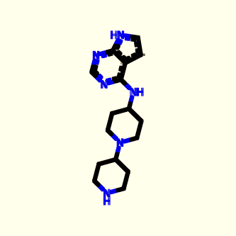 [c]1c[nH]c2ncnc(NC3CCN(C4CCNCC4)CC3)c12